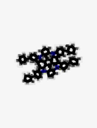 c1ccc(-c2ccc3c(c2)c2c4c5cc(-c6ccccc6)ccc5n5c4c4c6c2n3-c2cccc3c2B6c2c6c7c(c8cc(-c9ccccc9)ccc8n7-c7cccc-5c7B46)c4c5cc(-c6ccccc6)ccc5n-3c24)cc1